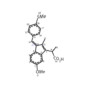 COc1ccc2c(c1)C(C(C)C(=O)O)=C(C)/C2=C\c1ccc(SC)cc1